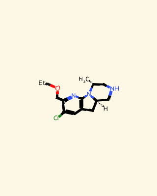 CCOCc1nc2c(cc1Cl)C[C@@H]1CNC[C@@H](C)N21